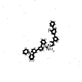 C=C(/C=C\N=C(/N)n1c2ccccc2c2cc(C3=CC4c5ccccc5N(c5ccccc5)C4C=C3)ccc21)c1cccc(-c2ccc(-c3ccccc3)c(F)c2)c1